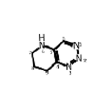 c1nnnc2c1NCCC2